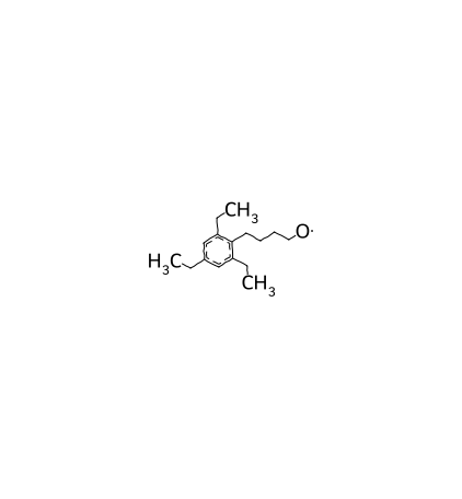 CCc1cc(CC)c(CCCC[O])c(CC)c1